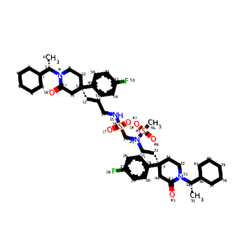 C[C@@H](C1CCCCC1)N1CC[C@@](CCCNS(=O)(=O)CN(CC[C@]2(c3ccc(F)cc3)CCN([C@@H](C)C3CCCCC3)C(=O)C2)S(C)(=O)=O)(c2ccc(F)cc2)CC1=O